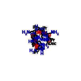 CCCCCCCCCCCC(=O)N[C@H](CC(C)C)C(=O)N[C@@H](CCCCN)C(=O)N[C@@H](Cc1c[nH]cn1)C(=O)N[C@H](CC(C)C)C(=O)N[C@H](CC(C)C)C(=O)N[C@@H](CCCCN)C(=O)N[C@@H](Cc1c[nH]cn1)C(=O)N[C@H](CC(C)C)C(=O)N[C@H](CC(C)C)C(=O)N[C@@H](CCCCN)C(=O)N[C@@H](Cc1c[nH]cn1)C(=O)N[C@H](CC(C)C)C(N)=O